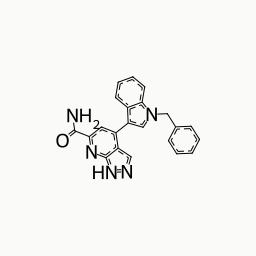 NC(=O)c1cc(-c2cn(Cc3ccccc3)c3ccccc23)c2cn[nH]c2n1